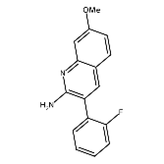 COc1ccc2cc(-c3ccccc3F)c(N)nc2c1